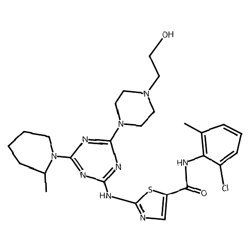 Cc1cccc(Cl)c1NC(=O)c1cnc(Nc2nc(N3CCN(CCO)CC3)nc(N3CCCCC3C)n2)s1